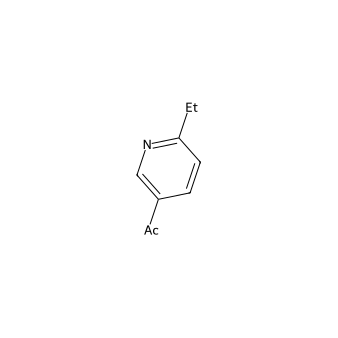 [CH2]Cc1ccc(C(C)=O)cn1